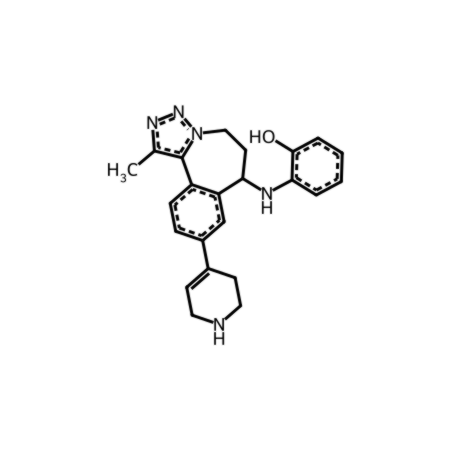 Cc1nnn2c1-c1ccc(C3=CCNCC3)cc1C(Nc1ccccc1O)CC2